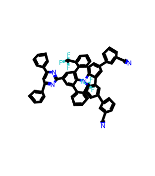 N#Cc1cccc(-c2ccc3c(c2)c2cc(-c4cccc(C#N)c4)ccc2n3-c2c(-c3ccccc3C(F)(F)F)cc(-c3nc(-c4ccccc4)cc(-c4ccccc4)n3)cc2-c2ccccc2C(F)(F)F)c1